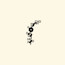 O=CNCCNc1ccc(N2C[C@H](CNC(=O)C(F)F)OC2=O)cc1F